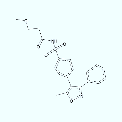 COCCC(=O)NS(=O)(=O)c1ccc(-c2c(-c3ccccc3)noc2C)cc1